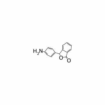 Nc1ccc(C2OC(=O)c3ccccc32)cc1